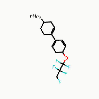 CCCCCCC1CC=C(C2=CCC(OC(F)(F)C(F)(F)CF)C=C2)CC1